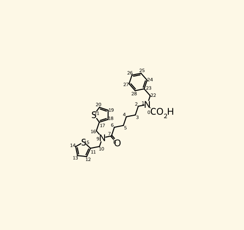 O=C(O)N(CCCCCC(=O)N(Cc1cccs1)Cc1cccs1)Cc1ccccc1